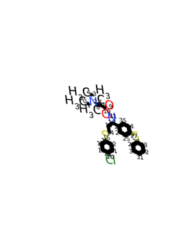 CCN(CC)C(C)(C)C(=O)O/N=C(\CCSc1ccc(Cl)cc1)c1ccc(Sc2ccccc2)cc1